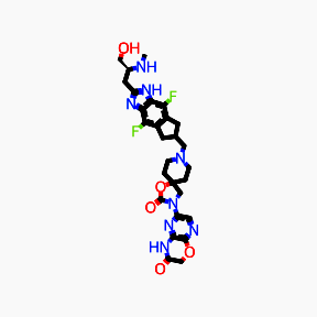 CN[C@H](CO)Cc1nc2c(F)c3c(c(F)c2[nH]1)CC(CN1CCC2(CC1)CN(c1cnc4c(n1)NC(=O)CO4)C(=O)O2)C3